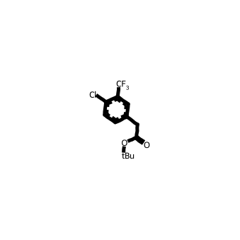 CC(C)(C)OC(=O)Cc1ccc(Cl)c(C(F)(F)F)c1